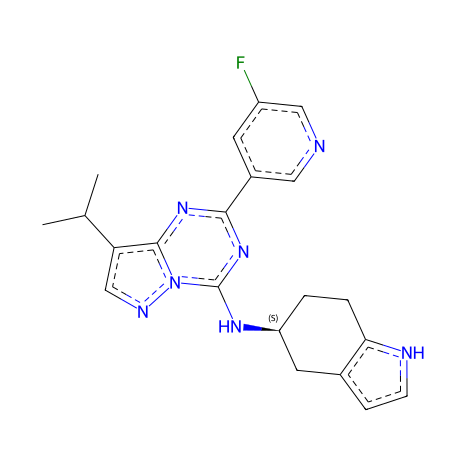 CC(C)c1cnn2c(N[C@H]3CCc4[nH]ccc4C3)nc(-c3cncc(F)c3)nc12